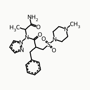 CC(C(N)=O)N(C(=O)C(Cc1ccccc1)CS(=O)(=O)N1CCN(C)CC1)n1cccn1